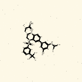 C[C@@H](C[C@H]1CN(S(=O)(=O)c2cccc(C(F)(F)F)c2)c2cc(-c3cc(Cl)cc(OC(F)F)c3)ccc2O1)C(=O)O